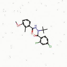 COc1cccc(C(=O)NN(C(=O)c2ccc(Cl)cc2F)C(C)(C)C)c1C